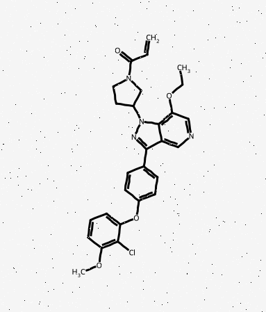 C=CC(=O)N1CCC(n2nc(-c3ccc(Oc4cccc(OC)c4Cl)cc3)c3cncc(OCC)c32)C1